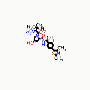 Cc1nc(C)c(-c2ccc([C@H](C)NC(=O)[C@@H]3C[C@@H](O)CN3C(=O)[C@@H](N)C(C)(C)C)cc2)s1